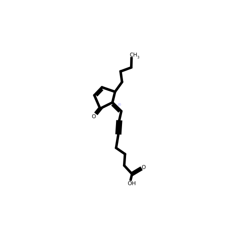 CCCCC1C=CC(=O)/C1=C\C#CCCCC(=O)O